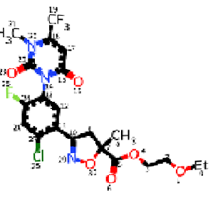 CCOCCOC(=O)C1(C)CC(c2cc(-n3c(=O)cc(C(F)(F)F)n(C)c3=O)c(F)cc2Cl)=NO1